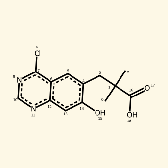 CC(C)(Cc1cc2c(Cl)ncnc2cc1O)C(=O)O